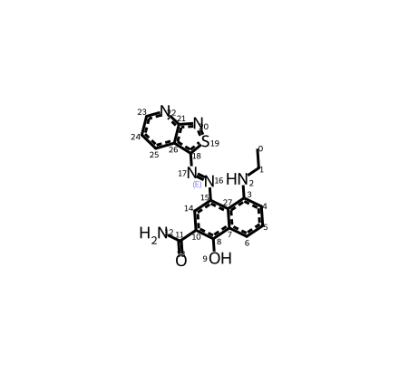 CCNc1cccc2c(O)c(C(N)=O)cc(/N=N/c3snc4ncccc34)c12